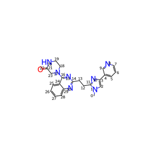 Cn1cc(-c2cccnc2)nc1CCc1nc(N2CCNC(=O)C2)c2ccccc2n1